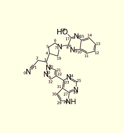 N#CCC(C1CCN(c2nc3ccccc3nc2O)C1)n1cc(-c2ncnc3[nH]ccc23)cn1